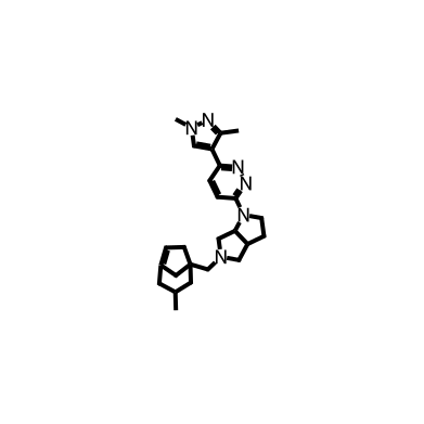 Cc1nn(C)cc1-c1ccc(N2CCC3CN(CC45CC=C(CC(C)C4)C5)CC32)nn1